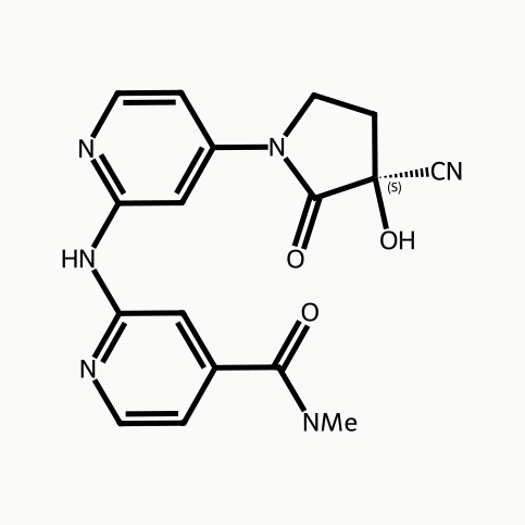 CNC(=O)c1ccnc(Nc2cc(N3CC[C@](O)(C#N)C3=O)ccn2)c1